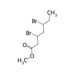 CCC(Br)CC(Br)CC(=O)OC